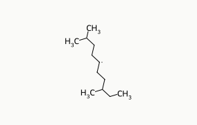 CCC(C)CC[CH]CCC(C)C